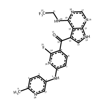 Cc1ccc(Nc2ccc(C(=O)c3c[nH]c4ncnc(NCC(F)(F)F)c34)c(F)n2)cn1